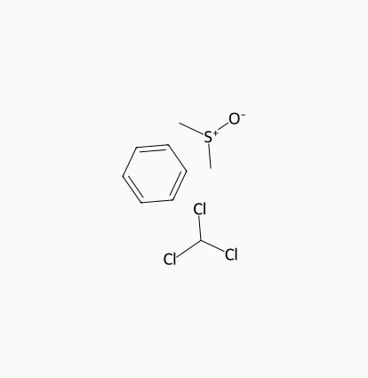 C[S+](C)[O-].ClC(Cl)Cl.c1ccccc1